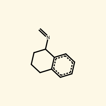 C=NC1CCCc2ccccc21